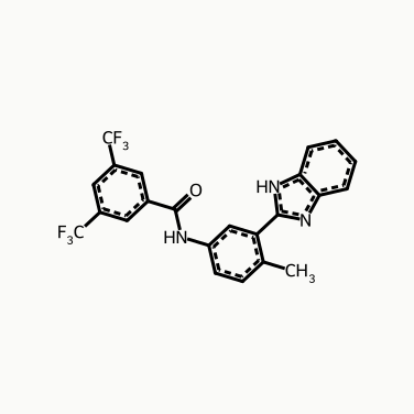 Cc1ccc(NC(=O)c2cc(C(F)(F)F)cc(C(F)(F)F)c2)cc1-c1nc2ccccc2[nH]1